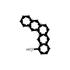 O=C(O)c1cccc2cc3ccc4cc5ccccc5cc4c3cc12